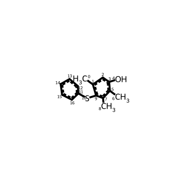 Cc1cc(O)c(C)c(C)c1Sc1ccccc1